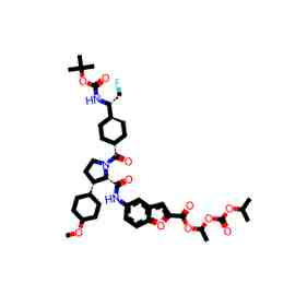 COC1CCC([C@@H]2CCN(C(=O)[C@H]3CC[C@H]([C@@H](CF)NC(=O)OC(C)(C)C)CC3)[C@@H]2C(=O)Nc2ccc3oc(C(=O)OC(C)OC(=O)OC(C)C)cc3c2)CC1